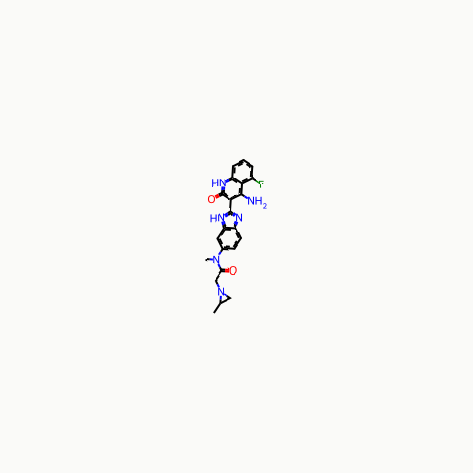 CC1CN1CC(=O)N(C)c1ccc2nc(-c3c(N)c4c(F)cccc4[nH]c3=O)[nH]c2c1